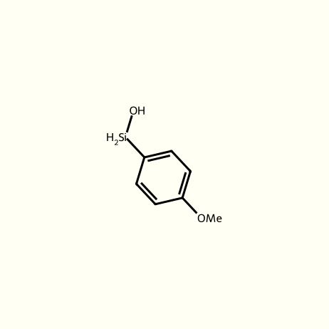 COc1ccc([SiH2]O)cc1